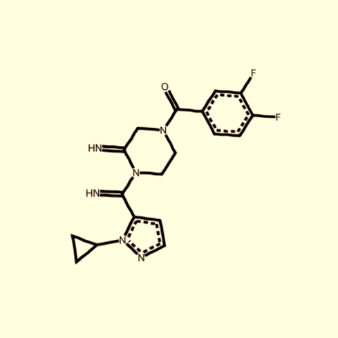 N=C1CN(C(=O)c2ccc(F)c(F)c2)CCN1C(=N)c1ccnn1C1CC1